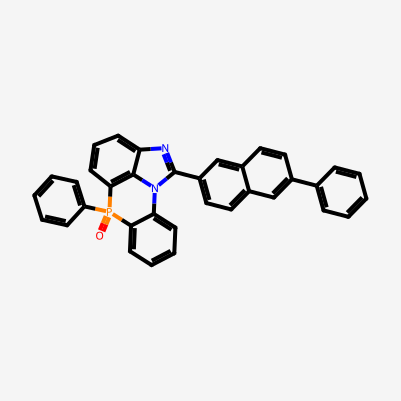 O=P1(c2ccccc2)c2ccccc2-n2c(-c3ccc4cc(-c5ccccc5)ccc4c3)nc3cccc1c32